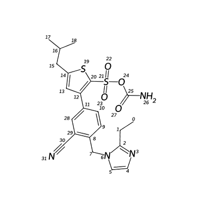 CCc1nccn1Cc1ccc(-c2cc(CC(C)C)sc2S(=O)(=O)OC(N)=O)cc1C#N